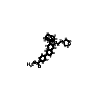 COC(=O)c1ccc(-c2ccc3cc(OCCN4CCOCC4)c(C45CC6CC(CC(C6)C4)C5)cc3c2)cc1